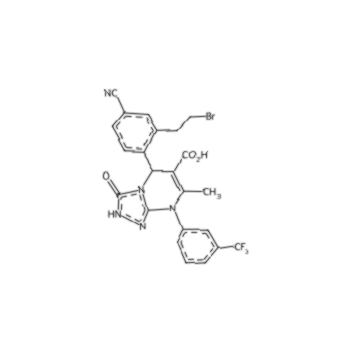 CC1=C(C(=O)O)C(c2ccc(C#N)cc2CCBr)n2c(n[nH]c2=O)N1c1cccc(C(F)(F)F)c1